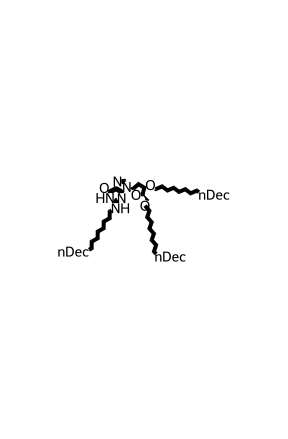 CCCCCCCCCCCCCCCCCCNc1nc2c(ncn2[C@H]2C[C@H](OCCCCCCCCCCCCCCCCCC)[C@@H](COCCCCCCCCCCCCCCCCCC)O2)c(=O)[nH]1